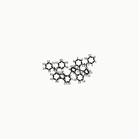 c1ccc(N2c3ccccc3C3(c4ccccc4-c4c(-c5cccc6c5sc5c(N(c7ccccc7)c7ccccc7)cccc56)cccc43)c3ccccc32)cc1